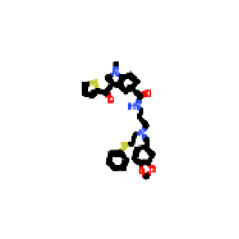 Cn1cc(C(=O)c2cccs2)c2cc(C(=O)NCCCN(CCSc3ccccc3)Cc3ccc4c(c3)OCO4)ccc21